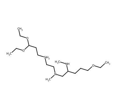 CCOCCCC(CN(C)CC[SiH2]CCC(OCC)OCC)NC